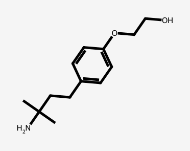 CC(C)(N)CCc1ccc(OCCO)cc1